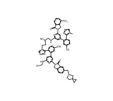 CC(C)CNc1cc(-c2cc(C#N)ccc2-c2nncn2CCC(C#N)CNc2cc(-c3cc(C#N)ccc3-c3nncn3C)cc(N3Cc4c(cccc4C(F)(F)F)C3=O)n2)cc(N2Cc3ccc(CN4CCC5(CC5)C4)cc3C2=O)n1